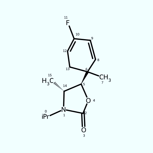 CC(C)N1C(=O)O[C@H](C2(C)C=CC(F)=CC2)[C@H]1C